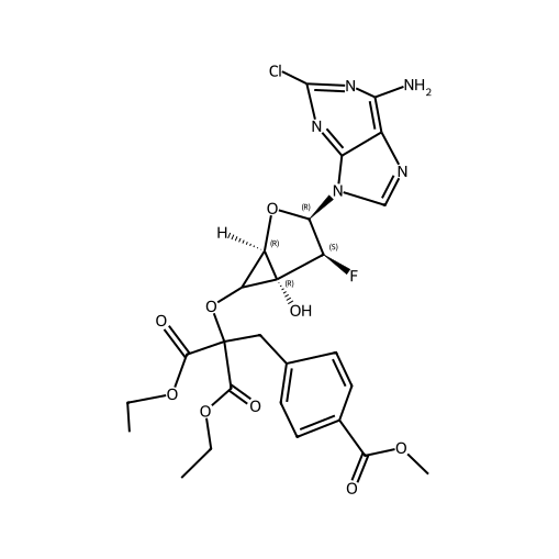 CCOC(=O)C(Cc1ccc(C(=O)OC)cc1)(OC1[C@H]2O[C@@H](n3cnc4c(N)nc(Cl)nc43)[C@@H](F)[C@@]12O)C(=O)OCC